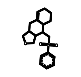 O=S(=O)(CC1C2CCCC=C2CC2COCC21)c1ccccc1